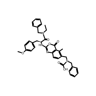 CCN(Cc1ccccc1)C(=O)[C@H](Cc1ccc(OC)cc1)Nc1nc2ccc(CN(Cc3ccccc3)C(=O)O)c(C)c2c(=O)o1